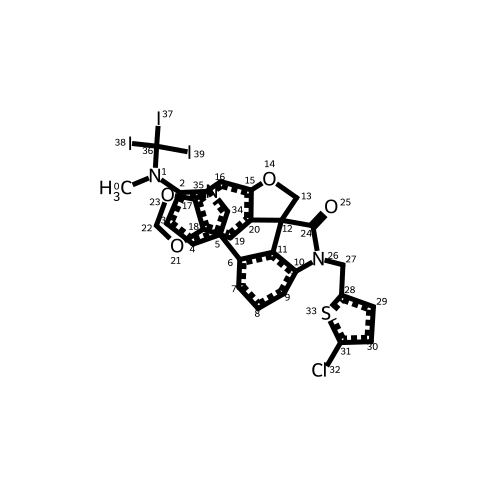 CN(c1ccc(-c2cccc3c2C2(COc4cc5c(cc42)OCO5)C(=O)N3Cc2ccc(Cl)s2)cn1)C(I)(I)I